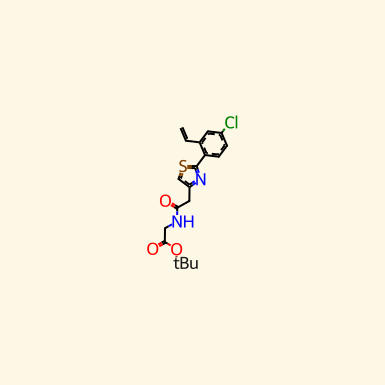 C=Cc1cc(Cl)ccc1-c1nc(CC(=O)NCC(=O)OC(C)(C)C)cs1